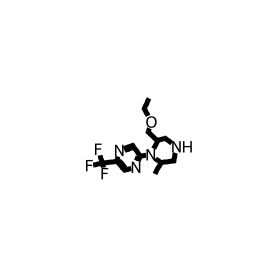 CCOCC1CNCC(C)N1c1cnc(C(F)(F)F)cn1